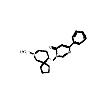 O=C(O)N1CC[C@H](Cn2cnc(-c3ccccc3)cc2=O)C2(CCCC2)C1